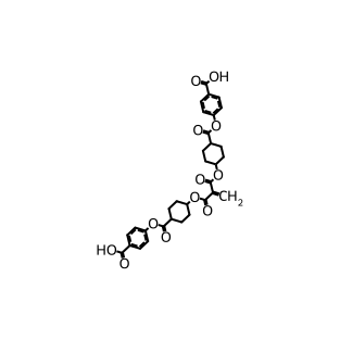 C=C(C(=O)OC1CCC(C(=O)Oc2ccc(C(=O)O)cc2)CC1)C(=O)OC1CCC(C(=O)Oc2ccc(C(=O)O)cc2)CC1